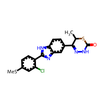 CSc1ccc(-c2nc3cc(C4=NNC(=O)SC4C)ccc3[nH]2)c(Cl)c1